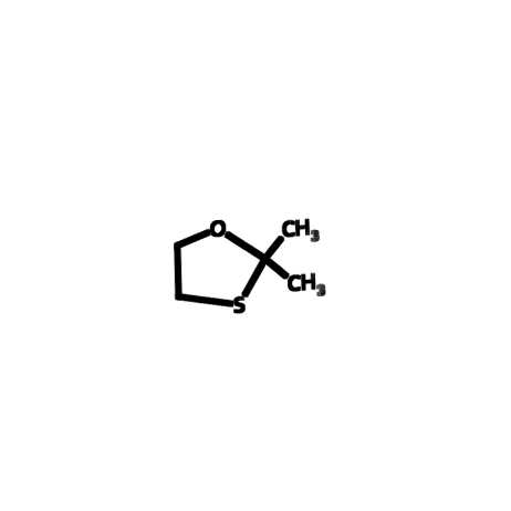 CC1(C)OCCS1